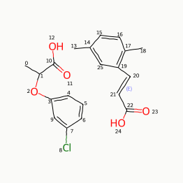 CC(Oc1cccc(Cl)c1)C(=O)O.Cc1ccc(C)c(/C=C/C(=O)O)c1